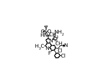 Cc1nc2c(F)c(-c3cccc(Cl)c3Cl)c(CCC#N)cc2c2c1cc([C@@H](C)NS(=O)(=O)C1CC1)n2[C@H]1[C@@H](CN)C[C@@H]1C